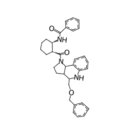 O=C(N[C@@H]1CCCC[C@@H]1C(=O)N1CCC2C(COCc3ccccc3)Nc3ccccc3C21)c1ccccc1